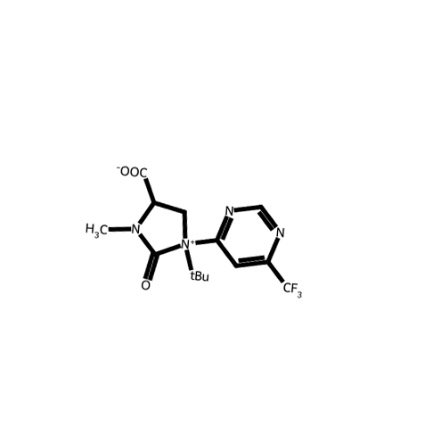 CN1C(=O)[N+](c2cc(C(F)(F)F)ncn2)(C(C)(C)C)CC1C(=O)[O-]